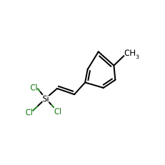 Cc1ccc(C=C[Si](Cl)(Cl)Cl)cc1